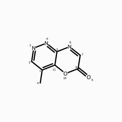 Cc1cnnc2ncc(=O)oc12